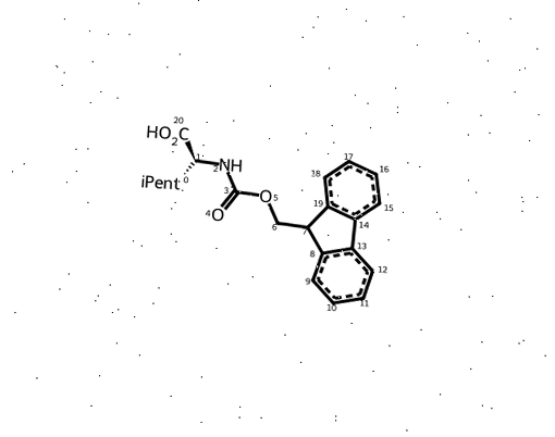 CCC[C@@H](C)[C@H](NC(=O)OCC1c2ccccc2-c2ccccc21)C(=O)O